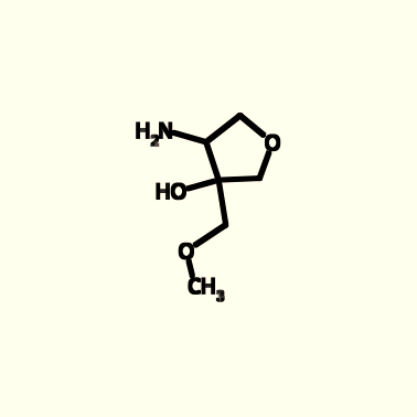 COCC1(O)COCC1N